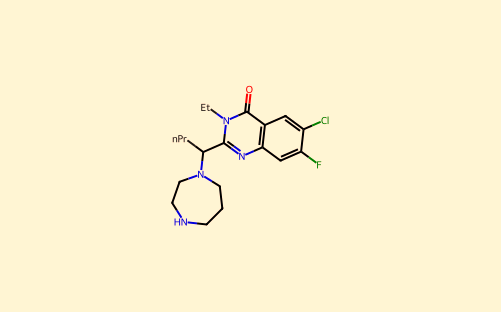 CCCC(c1nc2cc(F)c(Cl)cc2c(=O)n1CC)N1CCCNCC1